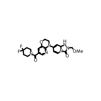 COCN1NC2C=C(N3CCOc4cc(C(=O)N5CCC(F)(F)CC5)cnc43)C=CN2C1=O